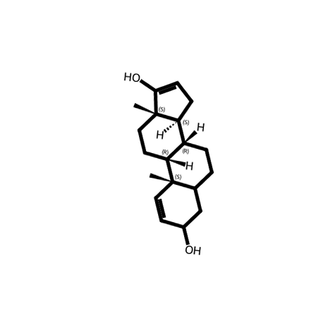 C[C@]12C=CC(O)CC1CC[C@@H]1[C@H]2CC[C@]2(C)C(O)=CC[C@@H]12